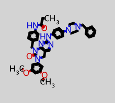 CCC(=O)Nc1ccc(CN2C(=O)N(c3cc(OC)cc(OC)c3)Cc3cnc(Nc4ccc(N5CCN(Cc6ccccc6)CC5)cc4)nc32)cc1